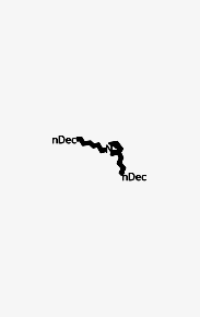 CCCCCCCCCCCCCCCC[n+]1cccc(CCCCCCCCCCCCCC)c1